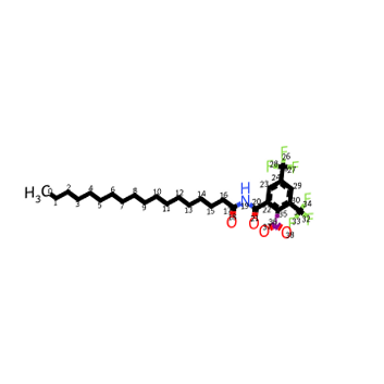 CCCCCCCCCCCCCCCCCC(=O)NC(=O)c1cc(C(F)(F)F)cc(C(F)(F)F)c1I(=O)=O